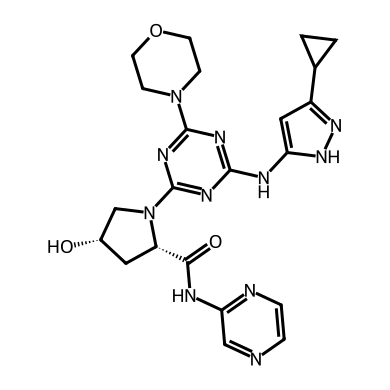 O=C(Nc1cnccn1)[C@@H]1C[C@H](O)CN1c1nc(Nc2cc(C3CC3)n[nH]2)nc(N2CCOCC2)n1